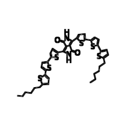 CCCCCCc1ccc(-c2ccc(-c3ccc(C4=C5C(=O)NC(c6ccc(-c7ccc(-c8ccc(CCCCCC)s8)s7)s6)=C5C(=O)N4)s3)s2)s1